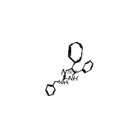 c1ccc(CNC2=N[C@@H](c3ccccc3)[C@@H](c3ccccc3)N2)cc1